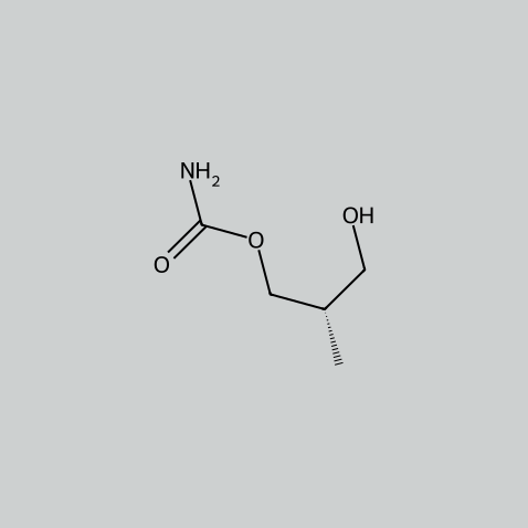 C[C@@H](CO)COC(N)=O